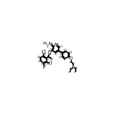 CCN(CC)CCOc1ccc(-c2cnc(N)c(OC(C)c3c(Cl)ccc(F)c3Cl)c2)cc1